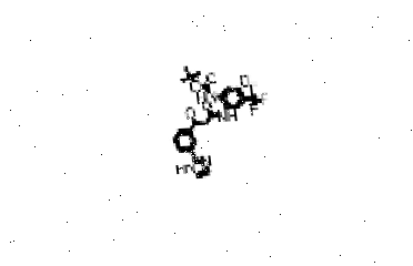 CC(C)(C)OC(=O)Nc1cc(Cl)c(C(F)(F)F)cc1NC(=O)CC(=O)c1cccc(-c2ncc[nH]2)c1